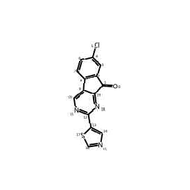 O=C1c2cc(Cl)ccc2-c2cnc(-c3cncs3)nc21